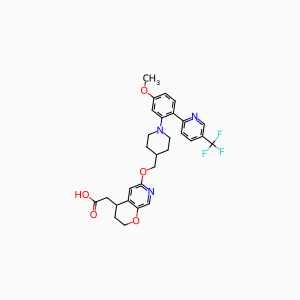 COc1ccc(-c2ccc(C(F)(F)F)cn2)c(N2CCC(COc3cc4c(cn3)OCCC4CC(=O)O)CC2)c1